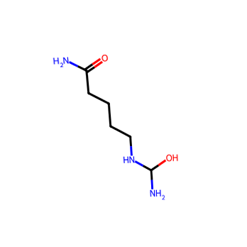 NC(=O)CCCCNC(N)O